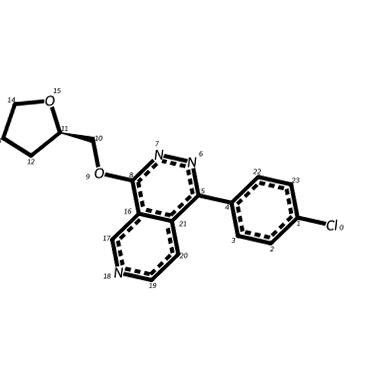 Clc1ccc(-c2nnc(OC[C@H]3CCCO3)c3cnccc23)cc1